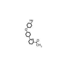 CC(=O)c1cccc(-c2ccc(Oc3ccc([18F])cc3)cc2)n1